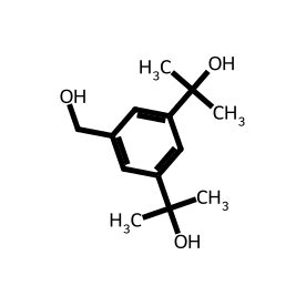 CC(C)(O)c1cc(CO)cc(C(C)(C)O)c1